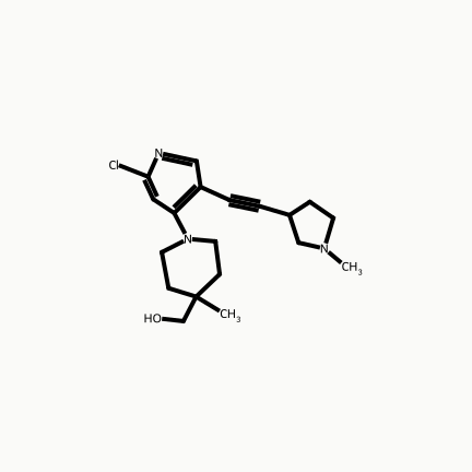 CN1CCC(C#Cc2cnc(Cl)cc2N2CCC(C)(CO)CC2)C1